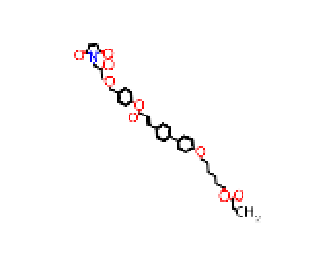 C=CC(=O)OCCCCCCOc1ccc(-c2ccc(/C=C/C(=O)Oc3ccc(COCC(=O)CN4C(=O)C=CC4=O)cc3)cc2)cc1